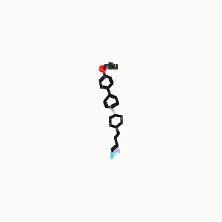 CCCCOc1ccc(-c2ccc([C@H]3CC[C@H](CC/C=C/F)CC3)cc2)cc1